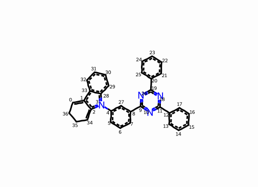 C1=c2c(n(-c3cccc(-c4nc(-c5ccccc5)nc(-c5ccccc5)n4)c3)c3ccccc23)=CCC1